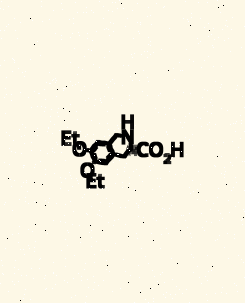 CCOc1cc2c(cc1OCC)C[C@@H](C(=O)O)NC2